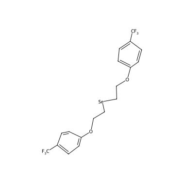 FC(F)(F)c1ccc(OCC[Se]CCOc2ccc(C(F)(F)F)cc2)cc1